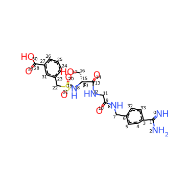 N=C(N)c1ccc(CNC(=O)CNC(=O)[C@@H](CO)NS(=O)(=O)Cc2cccc(C(=O)O)c2)cc1